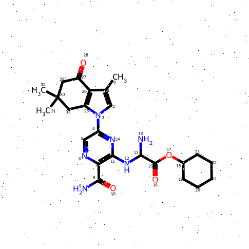 Cc1cn(-c2cnc(C(N)=O)c(NC(N)C(=O)OC3CCCCC3)n2)c2c1C(=O)CC(C)(C)C2